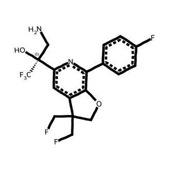 NC[C@](O)(c1cc2c(c(-c3ccc(F)cc3)n1)OCC2(CF)CF)C(F)(F)F